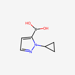 OB(O)c1ccnn1C1CC1